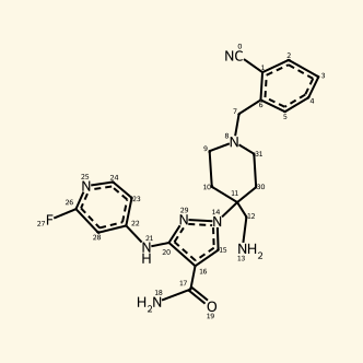 N#Cc1ccccc1CN1CCC(CN)(n2cc(C(N)=O)c(Nc3ccnc(F)c3)n2)CC1